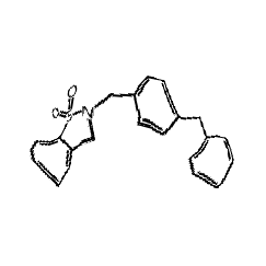 O=S1(=O)c2ccccc2CN1Cc1ccc(Cc2ccccc2)cc1